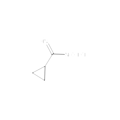 CN(O)C(=N)C1CC1